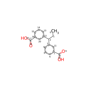 CCC(c1cccc(C(=O)O)c1)c1cccc(C(=O)O)c1